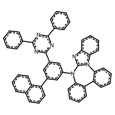 c1ccc(-c2nc(-c3ccccc3)nc(-c3cc(-c4cccc5ccccc45)cc(N4c5ccccc5-c5ccccc5-n5c4nc4ccccc45)c3)n2)cc1